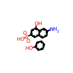 Nc1ccc2cc(S(=O)(=O)O)cc(O)c2c1.Oc1ccccc1